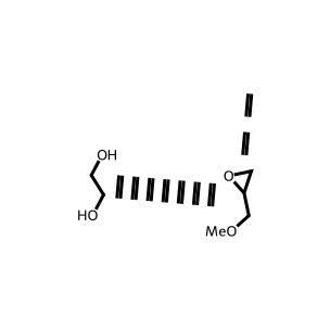 C=C.C=C.C=C.C=C.C=C.C=C.C=C.C=C.C=C.COCC1CO1.OCCO